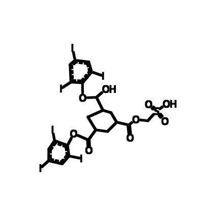 O=C(OCS(=O)(=O)O)C1CC(C(=O)Oc2c(I)cc(I)cc2I)CC(C(O)Oc2c(I)cc(I)cc2I)C1